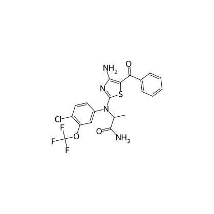 CC(C(N)=O)N(c1ccc(Cl)c(OC(F)(F)F)c1)c1nc(N)c(C(=O)c2ccccc2)s1